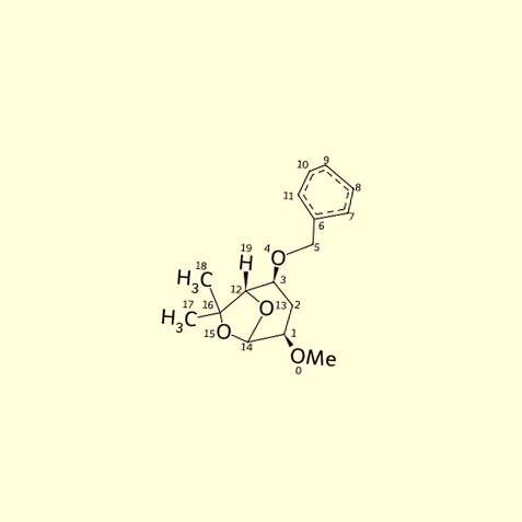 CO[C@@H]1C[C@H](OCc2ccccc2)[C@@H]2OC1OC2(C)C